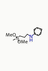 C[O][Ti]([CH3])([CH2]CCNc1ccccc1)[O]C